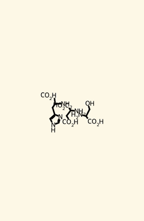 NC(CC(=O)O)C(=O)O.NC(CO)C(=O)O.NC(Cc1c[nH]cn1)C(=O)O